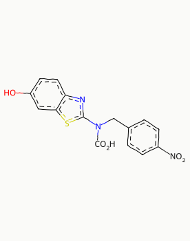 O=C(O)N(Cc1ccc([N+](=O)[O-])cc1)c1nc2ccc(O)cc2s1